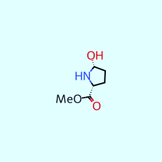 COC(=O)[C@H]1CC[C@@H](O)N1